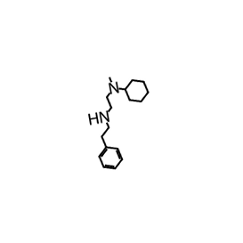 CN(CCNCCc1ccccc1)C1CCCCC1